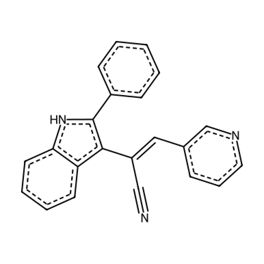 N#C/C(=C\c1cccnc1)c1c(-c2ccccc2)[nH]c2ccccc12